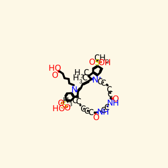 C=S(=O)(O)c1ccc2c(c1)C(C)(C)C1=[N+]2CCCCCC(=O)NCCNC(=O)CCCCCC2(C)/C(=C/C=C/1)N(CCCCCC(=O)O)c1ccc(S(=O)(=O)O)cc12